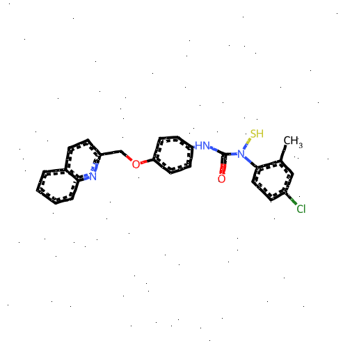 Cc1cc(Cl)ccc1N(S)C(=O)Nc1ccc(OCc2ccc3ccccc3n2)cc1